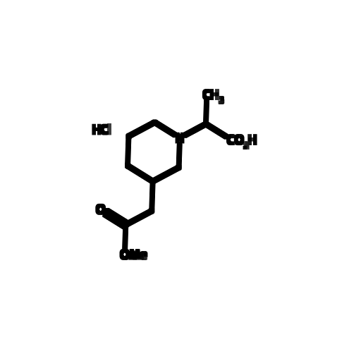 COC(=O)CC1CCCN(C(C)C(=O)O)C1.Cl